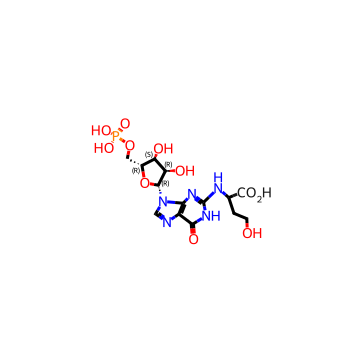 O=C(O)C(CCO)Nc1nc2c(ncn2[C@@H]2O[C@H](COP(=O)(O)O)[C@@H](O)[C@H]2O)c(=O)[nH]1